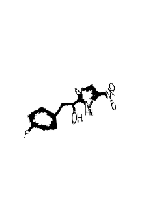 O=[N+]([O-])c1cnc(C(O)Cc2ccc(F)cc2)[nH]1